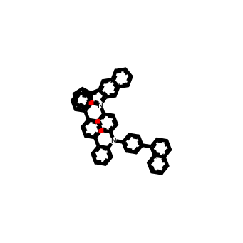 c1ccc(-c2ccc(-c3ccccc3N(c3ccc(-c4cccc5ccccc45)cc3)c3ccc(-n4c5ccccc5c5cc6ccccc6cc54)cc3)cc2)cc1